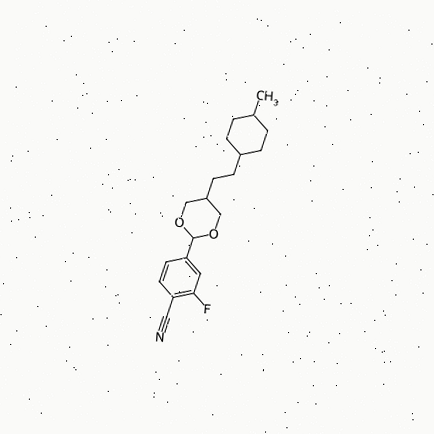 CC1CCC(CCC2COC(c3ccc(C#N)c(F)c3)OC2)CC1